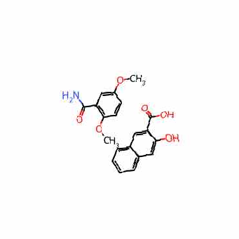 COc1ccc(OC)c(C(N)=O)c1.O=C(O)c1cc2ccccc2cc1O